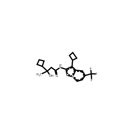 CC(O)(CC(=O)Nc1nn2ccc(C(F)(F)F)cc2c1C1CCC1)C1CCC1